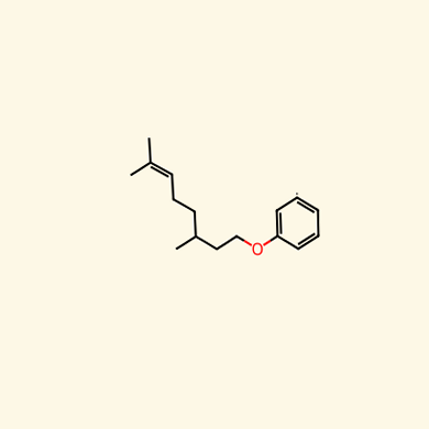 CC(C)=CCCC(C)CCOc1c[c]ccc1